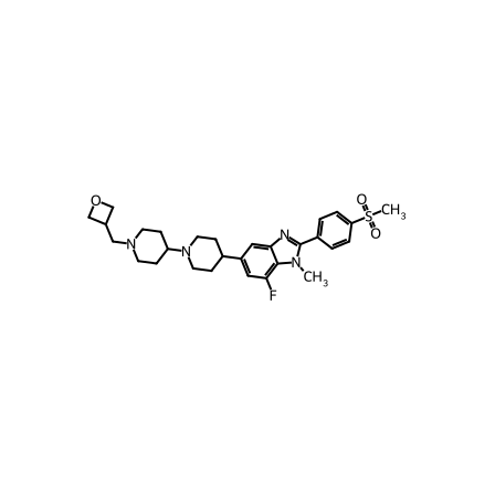 Cn1c(-c2ccc(S(C)(=O)=O)cc2)nc2cc(C3CCN(C4CCN(CC5COC5)CC4)CC3)cc(F)c21